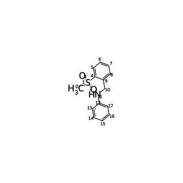 CS(=O)(=O)c1ccccc1CNc1[c]cccc1